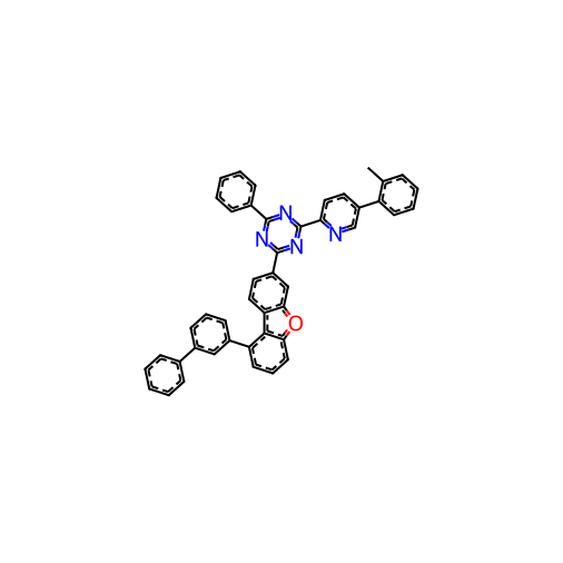 Cc1ccccc1-c1ccc(-c2nc(-c3ccccc3)nc(-c3ccc4c(c3)oc3cccc(-c5cccc(-c6ccccc6)c5)c34)n2)nc1